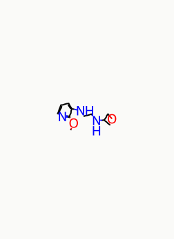 COc1ncccc1NCCNC1COC1